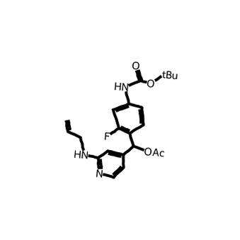 C=CCNc1cc(C(OC(C)=O)c2ccc(NC(=O)OC(C)(C)C)cc2F)ccn1